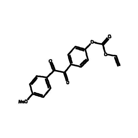 C=COC(=O)Oc1ccc(C(=O)C(=O)c2ccc(OC)cc2)cc1